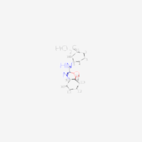 O=C(O)c1cccc(Nc2nc3ccccc3o2)c1